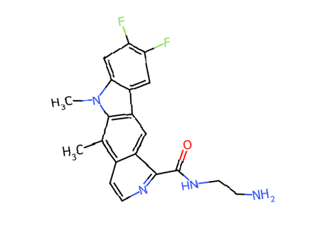 Cc1c2ccnc(C(=O)NCCN)c2cc2c3cc(F)c(F)cc3n(C)c12